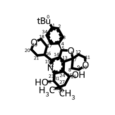 CC(C)(C)c1ccc([C@H]2OC3(CCOCC3)c3c2c(C2CCOCC2)nc2c3[C@@H](O)CC(C)(C)[C@H]2O)cc1